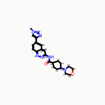 Cn1cc(-c2ccc3nnc(NC(=O)C4CCC(N5CCOCC5)CC4)cc3c2)nn1